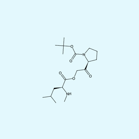 CN[C@@H](CC(C)C)C(=O)OCC(=O)[C@@H]1CCCN1C(=O)OC(C)(C)C